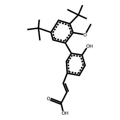 COc1c(-c2cc(/C=C/C(=O)O)ccc2O)cc(C(C)(C)C)cc1C(C)(C)C